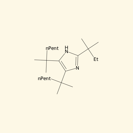 CCCCCC(C)(C)c1nc(C(C)(C)CC)[nH]c1C(C)(C)CCCCC